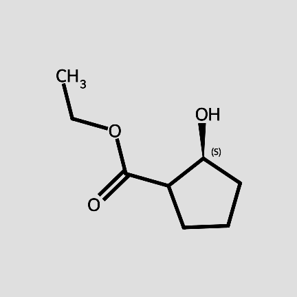 CCOC(=O)C1CCC[C@@H]1O